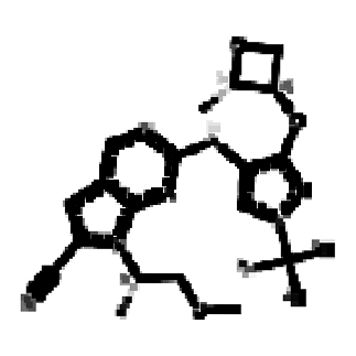 [2H]C([2H])([2H])n1cc(Nc2ncc3cc(C#N)n([C@@H](C)COC)c3n2)c(O[C@@H]2CO[C@H]2C)n1